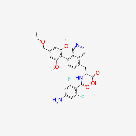 CCOCc1cc(OC)c(-c2ccc(C[C@H](NC(=O)c3c(F)cc(N)cc3F)C(=O)O)c3ccncc23)c(OC)c1